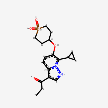 CCC(=O)c1cnn2c(C3CC3)c(OC3CCS(=O)(=O)CC3)ccc12